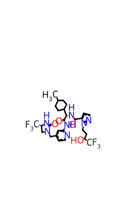 CC1CCC([C@H](NC(=O)c2ccnn2CCC(O)C(F)(F)F)C(=O)Nc2cc(CN3C[C@@H](C(F)(F)F)NC3=O)ccn2)CC1